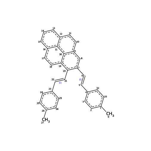 Cc1ccc(/C=C/c2cc3ccc4cccc5ccc(c2/C=C/c2ccc(C)cc2)c3c45)cc1